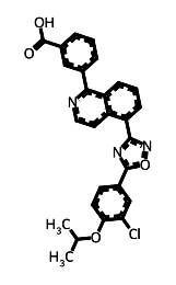 CC(C)Oc1ccc(-c2nc(-c3cccc4c(-c5cccc(C(=O)O)c5)nccc34)no2)cc1Cl